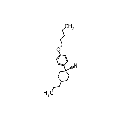 CCCCCOc1ccc(C2(C#N)CCC(CCC)CC2)cc1